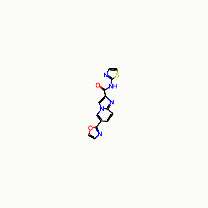 O=C(Nc1nccs1)c1cn2cc(-c3ncco3)ccc2n1